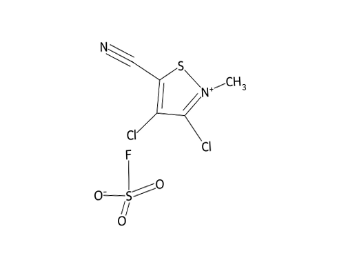 C[n+]1sc(C#N)c(Cl)c1Cl.O=S(=O)([O-])F